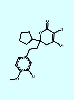 COc1ccc(CCC2(C3CCCC3)CC(O)=C(Cl)C(=O)O2)cc1Cl